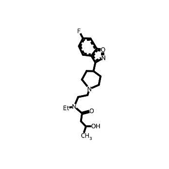 CCN(CCN1CCC(c2noc3cc(F)ccc23)CC1)C(=O)CC(C)O